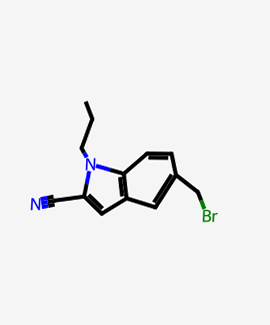 CCCn1c(C#N)cc2cc(CBr)ccc21